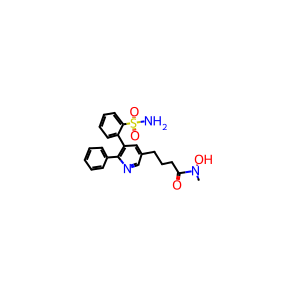 CN(O)C(=O)CCCc1cnc(-c2ccccc2)c(-c2ccccc2S(N)(=O)=O)c1